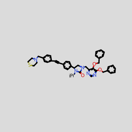 CC(C)N1C(=O)N(Cc2ncnc(OCc3ccccc3)c2OCc2ccccc2)CC1c1ccc(C#Cc2ccc(CN3CCSCC3)cc2)cc1